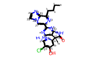 CCCCc1nc(-c2nc(N)c3c(n2)NC(=O)[C@]3(C)c2cc(O)c(Cl)cn2)cn2ccnc12